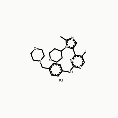 Cc1ncc(-c2nc(Nc3ccc(CN4CCOCC4)cc3)ncc2F)n1C1CCOCC1.Cl